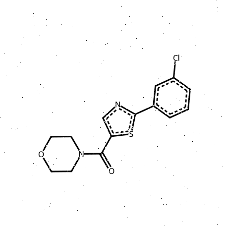 O=C(c1cnc(-c2cccc(Cl)c2)s1)N1CCOCC1